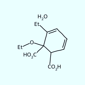 CCOC1(C(=O)O)C(CC)=CC=CC1C(=O)O.O